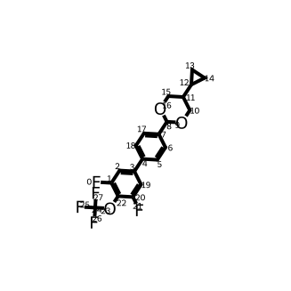 Fc1cc(-c2ccc(C3OCC(C4CC4)CO3)cc2)cc(F)c1OC(F)(F)F